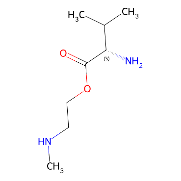 CNCCOC(=O)[C@@H](N)C(C)C